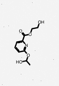 CC(O)Oc1cccc(C(=O)OCCO)n1